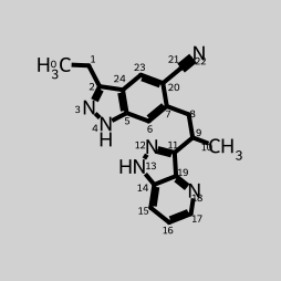 CCc1n[nH]c2cc(CC(C)c3n[nH]c4cccnc34)c(C#N)cc12